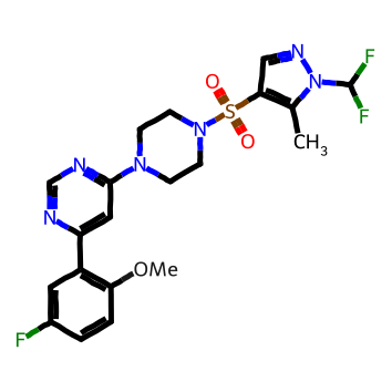 COc1ccc(F)cc1-c1cc(N2CCN(S(=O)(=O)c3cnn(C(F)F)c3C)CC2)ncn1